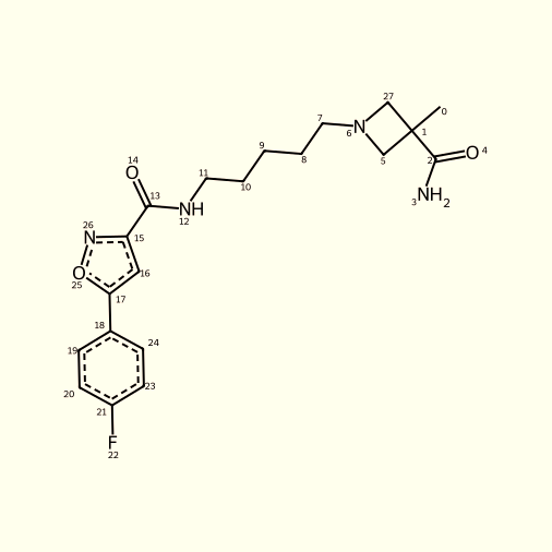 CC1(C(N)=O)CN(CCCCCNC(=O)c2cc(-c3ccc(F)cc3)on2)C1